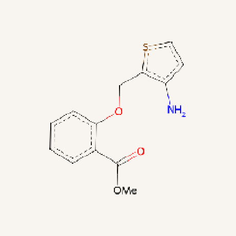 COC(=O)c1ccccc1OCc1sccc1N